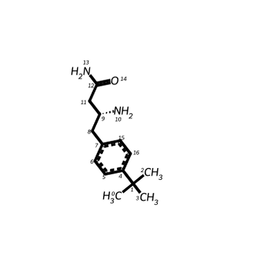 CC(C)(C)c1ccc(C[C@@H](N)CC(N)=O)cc1